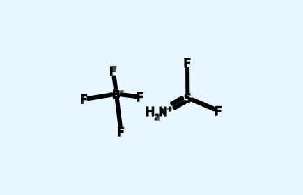 F[B-](F)(F)F.[NH2+]=S(F)F